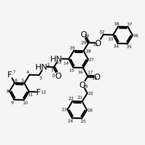 O=C(NCCc1c(F)cccc1F)Nc1cc(C(=O)OCc2ccccc2)cc(C(=O)OCc2ccccc2)c1